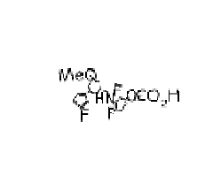 COc1cc(CNc2c(F)ccc(OCC(=O)O)c2F)cc(-c2cccc(F)c2)c1